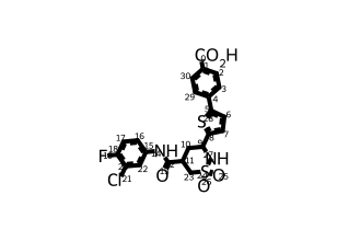 O=C(O)c1ccc(-c2ccc(C3CC(C(=O)Nc4ccc(F)c(Cl)c4)CS(=O)(=O)N3)s2)cc1